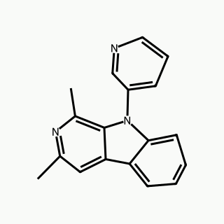 Cc1cc2c3ccccc3n(-c3cccnc3)c2c(C)n1